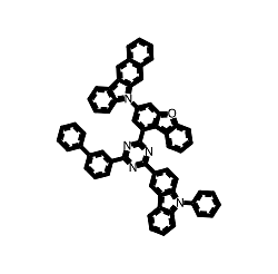 c1ccc(-c2cccc(-c3nc(-c4ccc5c(c4)c4ccccc4n5-c4ccccc4)nc(-c4cc(-n5c6ccccc6c6cc7ccccc7cc65)cc5oc6ccccc6c45)n3)c2)cc1